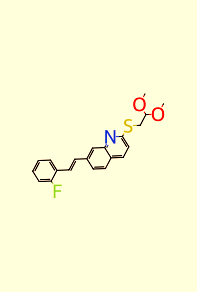 COC(CSc1ccc2ccc(/C=C/c3ccccc3F)cc2n1)OC